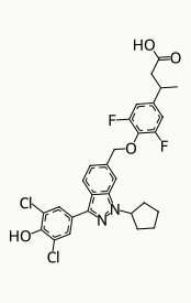 CC(CC(=O)O)c1cc(F)c(OCc2ccc3c(-c4cc(Cl)c(O)c(Cl)c4)nn(C4CCCC4)c3c2)c(F)c1